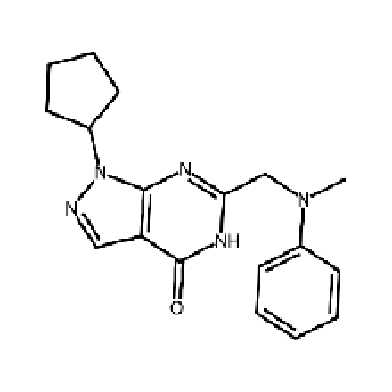 CN(Cc1nc2c(cnn2C2CCCC2)c(=O)[nH]1)c1ccccc1